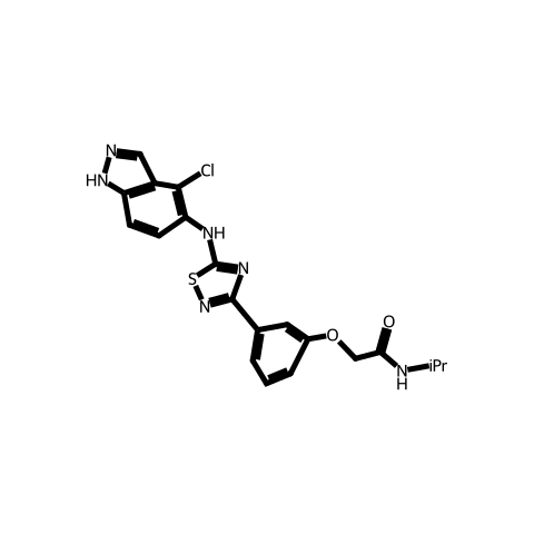 CC(C)NC(=O)COc1cccc(-c2nsc(Nc3ccc4[nH]ncc4c3Cl)n2)c1